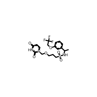 CC(NS(=O)(=O)CCCOCn1ccc(=O)[nH]c1=O)c1cccc(OCC(F)(F)F)c1